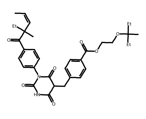 C/C=C\C(C)(CC)C(=O)c1ccc(N2C(=O)NC(=O)C(Cc3ccc(C(=O)OCCOC(C)(CC)CC)cc3)C2=O)cc1